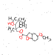 COc1ccc2oc(C(=O)OCC(C)(C)C(O)C(C)(C)C)cc2c1